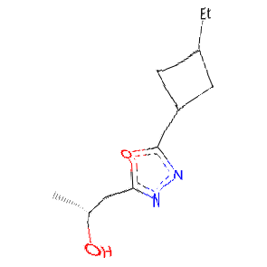 CCC1CC(c2nnc([C@@H](C)O)o2)C1